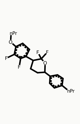 CCCOc1ccc(C2CCC(c3ccc(CCC)cc3)OC2(F)F)c(F)c1F